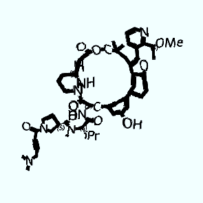 CO[C@@H](C)c1ncccc1-c1oc2ccc3cc2c1CC(C)(C)COC(=O)C[C@@H]1CCCN(N1)C(=O)[C@@H](NC(=O)[C@H](C(C)C)N(C)C(=O)[C@H]1CCN(C(=O)C#CCN(C)C)C1)Cc1cc(O)cc-3c1